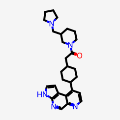 O=C(CC1CCC(c2ccnc3cnc4[nH]ccc4c23)CC1)N1CCCC(CN2CCCC2)C1